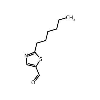 CCCCCCc1ncc(C=O)s1